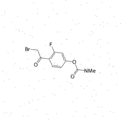 CNC(=O)Oc1ccc(C(=O)CBr)c(F)c1